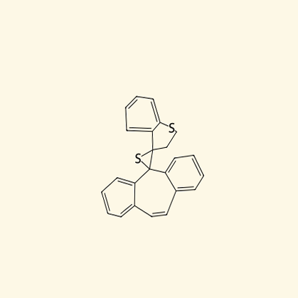 C1=Cc2ccccc2C2(SC23CCSc2ccccc23)c2ccccc21